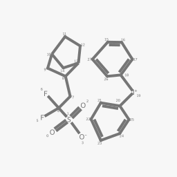 O=S(=O)([O-])C(F)(F)CC1CC2CCC1C2.c1ccc([I+]c2ccccc2)cc1